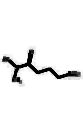 CNCCCC(=O)N(C)C(C)=O